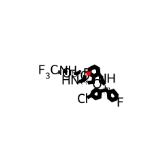 O=C(C[C@H](c1ccc(F)cc1)c1ccc(Cl)cc1)Nc1cccc(F)c1CC[C@@H]1CN[C@H](CONCC(F)(F)F)CO1